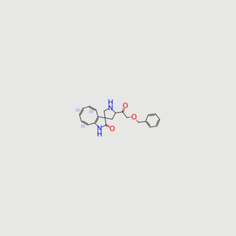 O=C(COCc1ccccc1)C1CC2(CN1)C(=O)NC1=C2\C=C/C=C\C=C/1